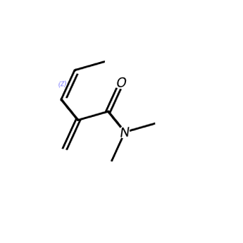 C=C(/C=C\C)C(=O)N(C)C